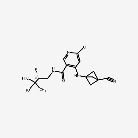 CC(C)(O)[C@H](F)CNC(=O)c1cnc(Cl)cc1NC12CC(C#N)(C1)C2